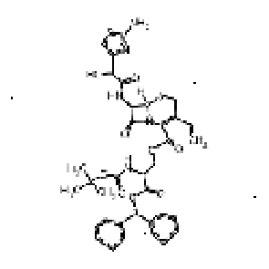 C=CC1=C(C(=O)OCC(NC(=O)OC(C)(C)C)C(=O)OC(c2ccccc2)c2ccccc2)N2C(=O)C(NC(=O)C(O)c3csc(N)n3)[C@@H]2SC1